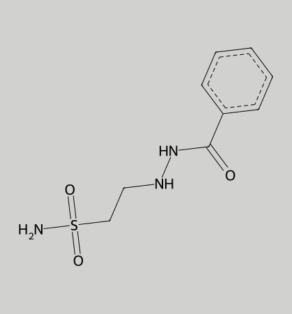 NS(=O)(=O)CCNNC(=O)c1ccccc1